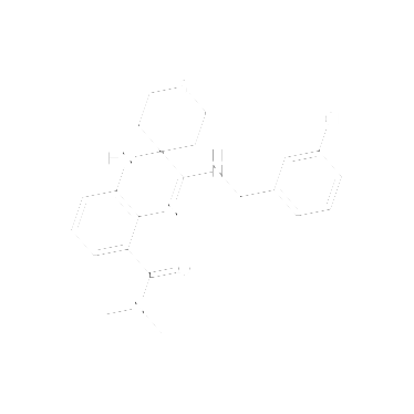 CN(C)C(=O)c1cccc2c1N=C(NCc1cccc(Cl)c1)C1(CCSCC1)N2